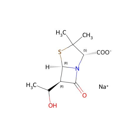 CC(O)[C@@H]1C(=O)N2[C@@H]1SC(C)(C)[C@@H]2C(=O)[O-].[Na+]